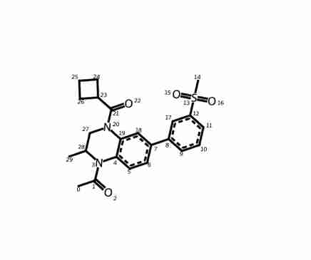 CC(=O)N1c2ccc(-c3cccc(S(C)(=O)=O)c3)cc2N(C(=O)C2CCC2)CC1C